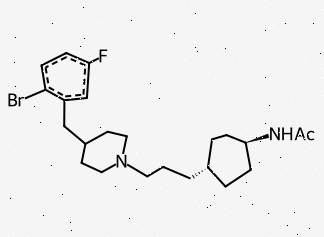 CC(=O)N[C@H]1CC[C@H](CCCN2CCC(Cc3cc(F)ccc3Br)CC2)CC1